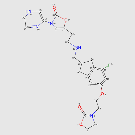 O=C1OCCN1CCOc1cc(F)c2c(c1)CC(CNCCC1CN(C3=CNCC=N3)C(=O)O1)C2